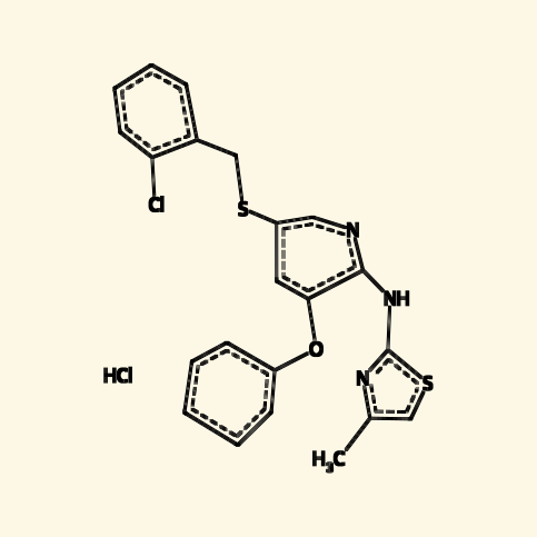 Cc1csc(Nc2ncc(SCc3ccccc3Cl)cc2Oc2ccccc2)n1.Cl